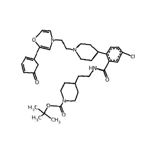 CC(C)(C)OC(=O)N1CCC(CCNC(=O)c2cc(Cl)ccc2C2CCN(CCN3C=COC(C4=CC=CC(=O)C4)=C3)CC2)CC1